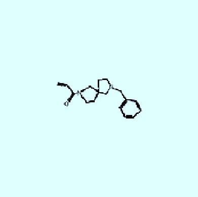 C=CC(=O)N1CCC2(CCN(Cc3ccccc3)C2)C1